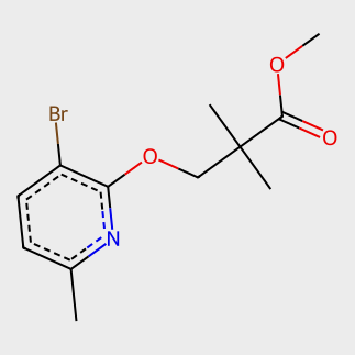 COC(=O)C(C)(C)COc1nc(C)ccc1Br